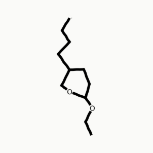 [CH2]CCCC1CCC(OCC)OC1